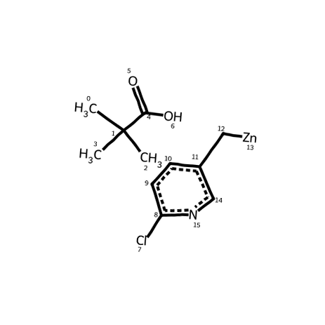 CC(C)(C)C(=O)O.Clc1ccc([CH2][Zn])cn1